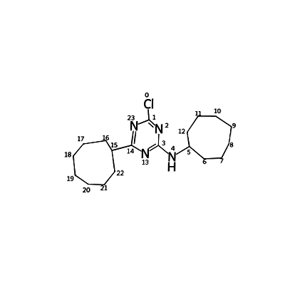 Clc1nc(NC2CCCCCCC2)nc(C2CCCCCCC2)n1